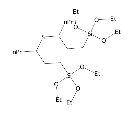 CCCC(CC[Si](OCC)(OCC)OCC)SC(CCC)CC[Si](OCC)(OCC)OCC